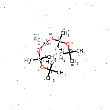 CC(C)(C)O[Si](C)(C)[O][Zr+2][O][Si](C)(C)OC(C)(C)C.[Cl-].[Cl-]